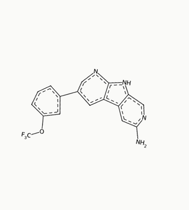 Nc1cc2c(cn1)[nH]c1ncc(-c3cccc(OC(F)(F)F)c3)cc12